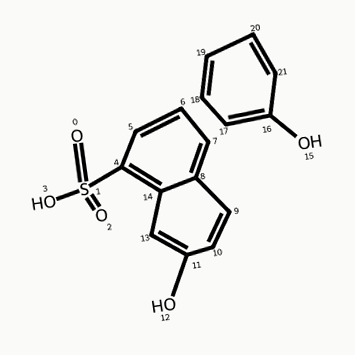 O=S(=O)(O)c1cccc2ccc(O)cc12.Oc1ccccc1